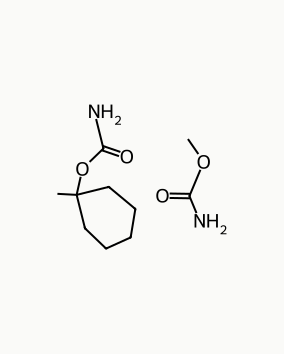 CC1(OC(N)=O)CCCCC1.COC(N)=O